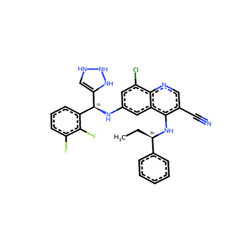 CC[C@@H](Nc1c(C#N)cnc2c(Cl)cc(N[C@H](C3=CNNN3)c3cccc(F)c3F)cc12)c1ccccc1